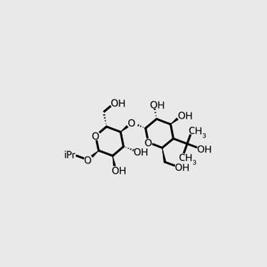 CC(C)O[C@H]1O[C@H](CO)[C@@H](O[C@H]2O[C@H](CO)C(C(C)(C)O)[C@H](O)[C@H]2O)[C@H](O)[C@H]1O